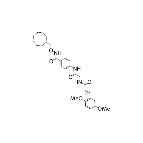 COc1ccc(OC)c(/C=C/C(=O)NCC(=O)Nc2ccc(C(=O)NOCC3CCCCCCC3)cc2)c1